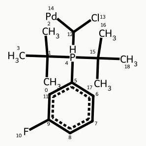 CC(C)(C)[PH](c1cccc(F)c1)([CH](Cl)[Pd])C(C)(C)C